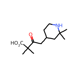 CC1(C)CC(CC(=O)C(C)(C)C(=O)O)CCN1